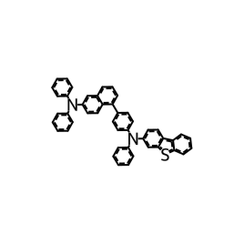 c1ccc(N(c2ccccc2)c2ccc3c(-c4ccc(N(c5ccccc5)c5ccc6c(c5)sc5ccccc56)cc4)cccc3c2)cc1